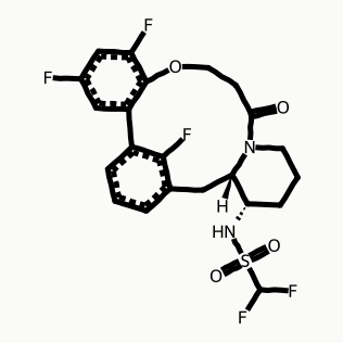 O=C1CCOc2c(F)cc(F)cc2-c2cccc(c2F)C[C@H]2[C@@H](NS(=O)(=O)C(F)F)CCCN12